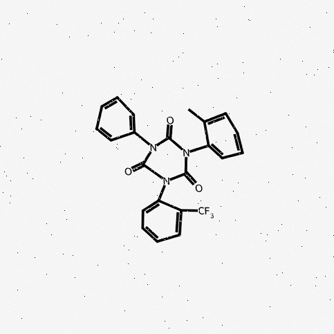 Cc1ccccc1-n1c(=O)n(-c2ccccc2)c(=O)n(-c2ccccc2C(F)(F)F)c1=O